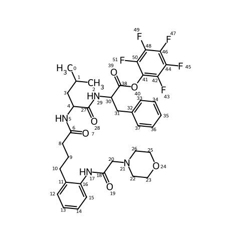 CC(C)CC(NC(=O)CCCc1ccccc1NC(=O)CN1CCOCC1)C(=O)NC(Cc1ccccc1)C(=O)Oc1c(F)c(F)c(F)c(F)c1F